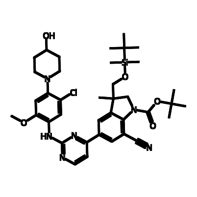 COc1cc(N2CCC(O)CC2)c(Cl)cc1Nc1nccc(-c2cc(C#N)c3c(c2)C(C)(CO[Si](C)(C)C(C)(C)C)CN3C(=O)OC(C)(C)C)n1